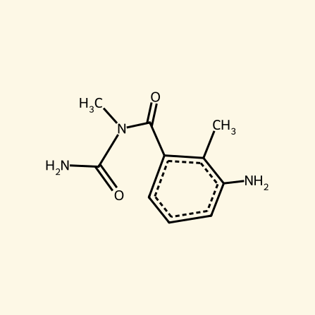 Cc1c(N)cccc1C(=O)N(C)C(N)=O